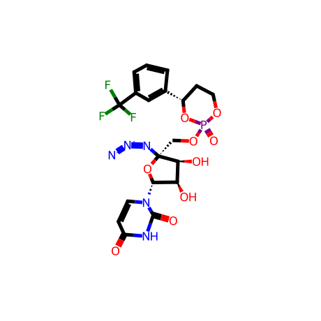 [N-]=[N+]=N[C@]1(COP2(=O)OCC[C@@H](c3cccc(C(F)(F)F)c3)O2)O[C@@H](n2ccc(=O)[nH]c2=O)[C@H](O)[C@@H]1O